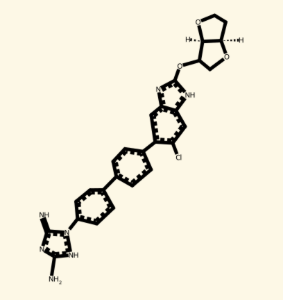 N=c1nc(N)[nH]n1-c1ccc(-c2ccc(-c3cc4nc(OC5CO[C@@H]6CCO[C@H]56)[nH]c4cc3Cl)cc2)cc1